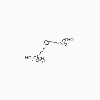 CC(C)(CCCCCCc1cccc(CCCCCCC2(OC=O)CC2)c1)C(=O)O